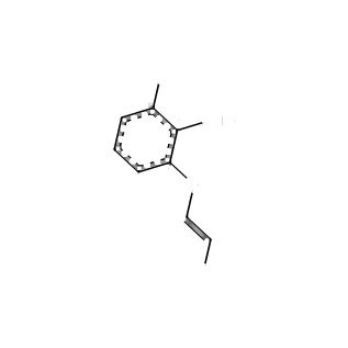 CCOC(=O)C=COc1cccc(Cl)c1C=O